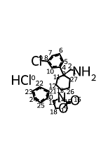 Cl.NC[C@]1(c2cccc(Cl)c2)CC[C@@H](N2C(=O)OC[C@@H]2c2ccccc2)CC1